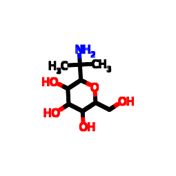 CC(C)(N)C1OC(CO)C(O)C(O)C1O